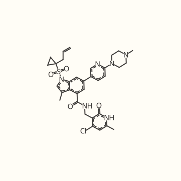 C=CCC1(S(=O)(=O)n2cc(C)c3c(C(=O)NCc4c(Cl)cc(C)[nH]c4=O)cc(-c4ccc(N5CCN(C)CC5)nc4)cc32)CC1